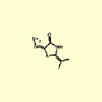 CC(C)=C1NC(=O)C(=NN)N1